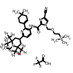 O=C(O)C(F)(F)F.[2H]C([2H])([2H])C1(C([2H])([2H])[2H])CC(c2ccc(NC(=O)c3nc(C#N)cn3COCC[Si](C)(C)C)c(C3=CCC(C)(C)CC3)n2)CC(C([2H])([2H])[2H])(C([2H])([2H])[2H])N1CC